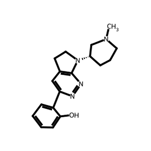 CN1CCC[C@H](N2CCc3cc(-c4ccccc4O)nnc32)C1